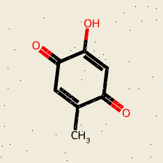 CC1=CC(=O)C(O)=CC1=O